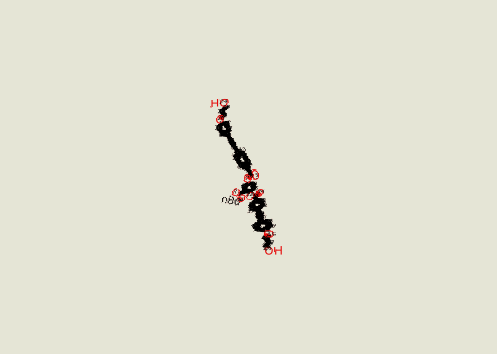 CCCCOC(=O)c1cc(OC(=O)c2ccc(C#Cc3ccc(OCCCO)cc3)cc2)ccc1OC(=O)c1ccc(C#Cc2ccc(OCCCO)cc2)cc1